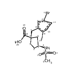 CS(=O)(=O)N[C@H]1CC[C@](Cc2cc(Br)ccc2F)(C(=O)O)C1